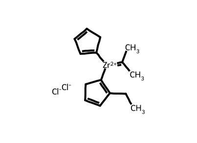 CCC1=[C]([Zr+2]([C]2=CC=CC2)=[C](C)C)CC=C1.[Cl-].[Cl-]